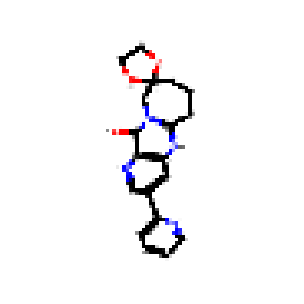 O=c1c2ncc(-c3ccccn3)cc2nc2n1CC1(CCC2)OCCO1